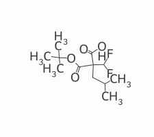 CC(C)CC(C(=O)O)(C(=O)OC(C)(C)C)C(F)F